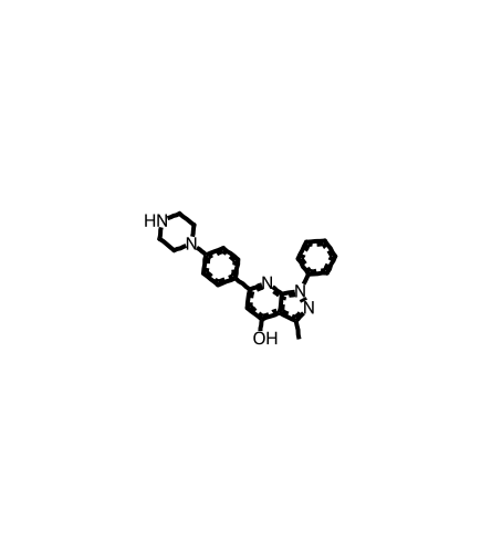 Cc1nn(-c2ccccc2)c2nc(-c3ccc(N4CCNCC4)cc3)cc(O)c12